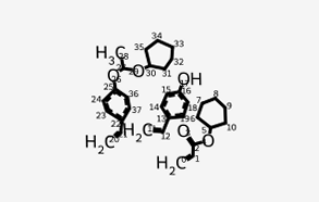 C=CC(=O)OC1CCCCC1.C=Cc1ccc(O)cc1.C=Cc1ccc(OC(C)OC2CCCCC2)cc1